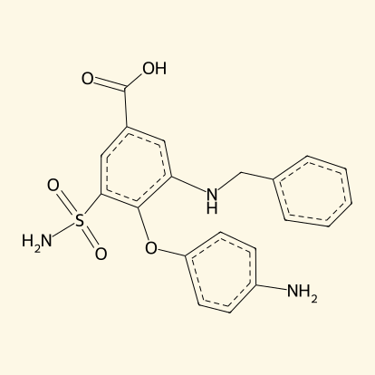 Nc1ccc(Oc2c(NCc3ccccc3)cc(C(=O)O)cc2S(N)(=O)=O)cc1